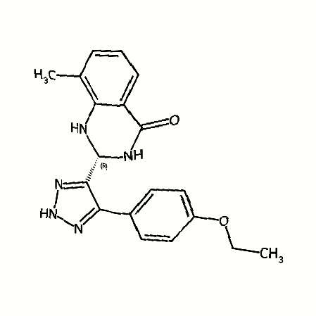 CCOc1ccc(-c2n[nH]nc2[C@H]2NC(=O)c3cccc(C)c3N2)cc1